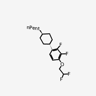 CCCCC[C@H]1CC[C@H](c2ccc(OCC(F)F)c(F)c2F)CC1